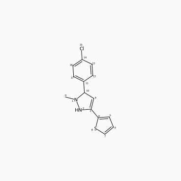 CN1NC(c2cccs2)=CC1c1ccc(Cl)cc1